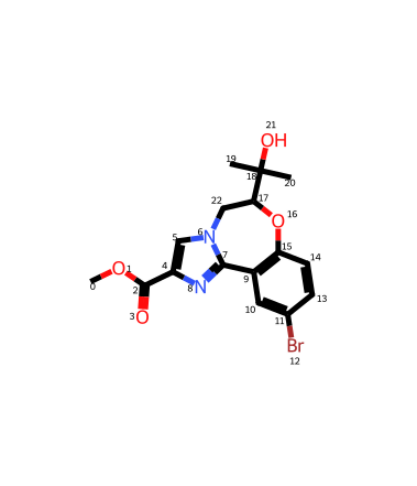 COC(=O)c1cn2c(n1)-c1cc(Br)ccc1OC(C(C)(C)O)C2